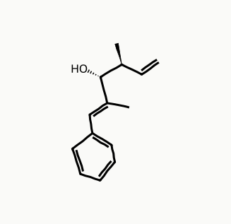 C=C[C@H](C)[C@@H](O)/C(C)=C/c1ccccc1